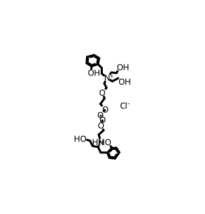 OCCC(Cc1ccccc1O)NCCOOOOCCOCC[N+](CCO)(CCO)CCc1ccccc1O.[Cl-]